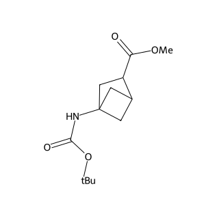 COC(=O)C1CC2(NC(=O)OC(C)(C)C)CC1C2